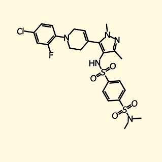 Cc1nn(C)c(C2=CCN(c3ccc(Cl)cc3F)CC2)c1NS(=O)(=O)c1ccc(S(=O)(=O)N(C)C)cc1